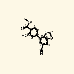 COC(=O)c1ccc(-c2cc(C#N)cc3c2OCO3)cc1O